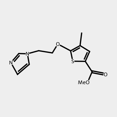 COC(=O)c1cc(C)c(OCCn2ccnc2)s1